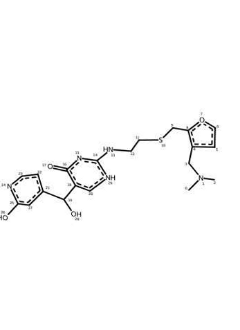 CN(C)Cc1ccoc1CSCCNc1nc(=O)c(C(O)c2ccnc(O)c2)c[nH]1